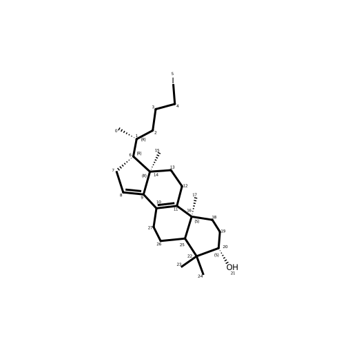 C[C@H](CCCI)[C@H]1CC=C2C3=C(CC[C@@]21C)[C@@]1(C)CC[C@H](O)C(C)(C)C1CC3